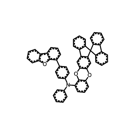 c1ccc(N(c2ccc(-c3cccc4c3oc3ccccc34)cc2)c2cccc3c2Oc2cc4c(cc2O3)C2(c3ccccc3-c3ccccc32)c2ccccc2-4)cc1